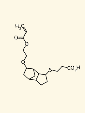 C=CC(=O)OCCOC1CC2CC1C1C(SCCC(=O)O)CCC21